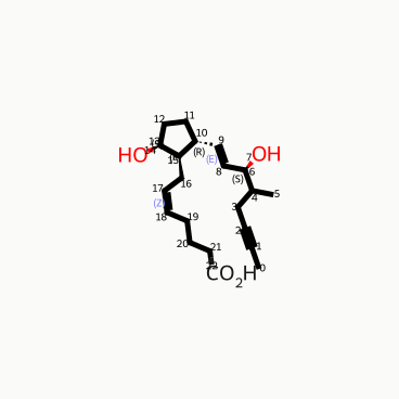 CC#CCC(C)[C@H](O)/C=C/[C@H]1CC[C@H](O)[C@@H]1C/C=C\CCCC(=O)O